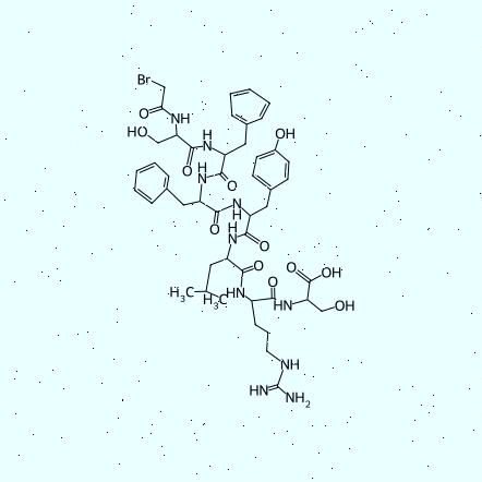 CC(C)CC(NC(=O)C(Cc1ccc(O)cc1)NC(=O)C(Cc1ccccc1)NC(=O)C(Cc1ccccc1)NC(=O)C(CO)NC(=O)CBr)C(=O)NC(CCCNC(=N)N)C(=O)NC(CO)C(=O)O